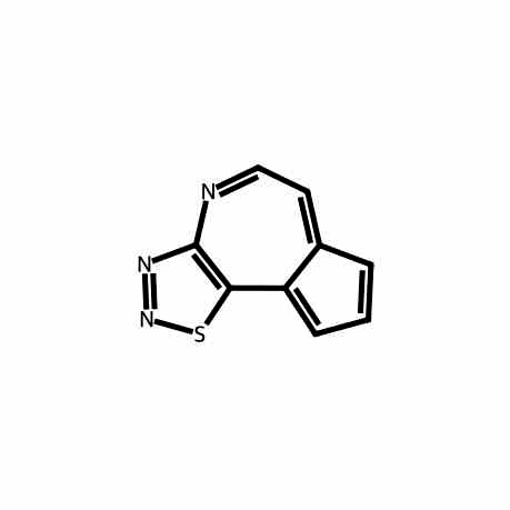 c1cc2ccnc3nnsc3c-2c1